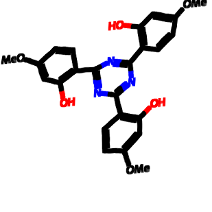 COc1ccc(-c2nc(-c3ccc(OC)cc3O)nc(-c3ccc(OC)cc3O)n2)c(O)c1